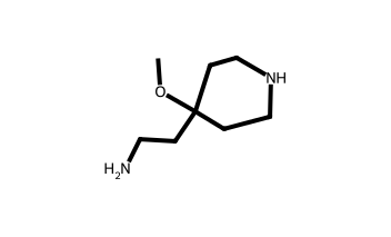 COC1(CCN)CCNCC1